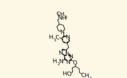 CCCC(CCO)Oc1nc(N)c2ncc(Cc3cnc(N4CCC(CNC)CC4)c(C)c3)n2n1